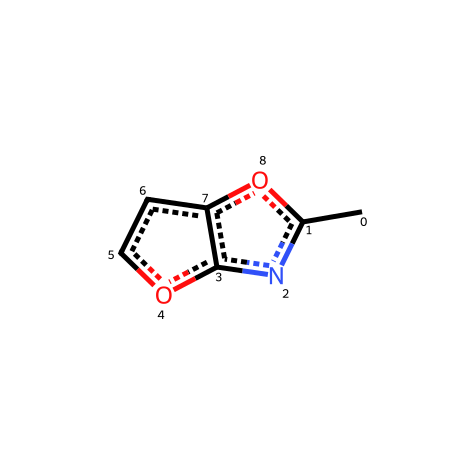 Cc1nc2occc2o1